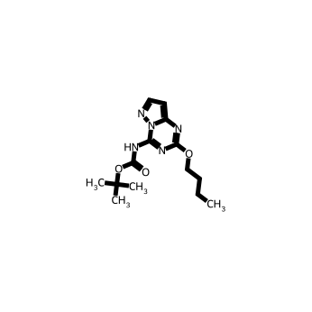 CCCCOc1nc(NC(=O)OC(C)(C)C)n2nccc2n1